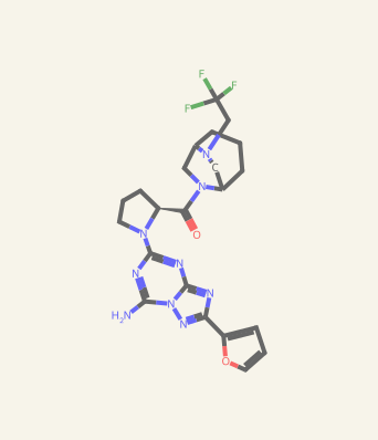 Nc1nc(N2CCC[C@H]2C(=O)N2CC3CCCC2CN3CC(F)(F)F)nc2nc(-c3ccco3)nn12